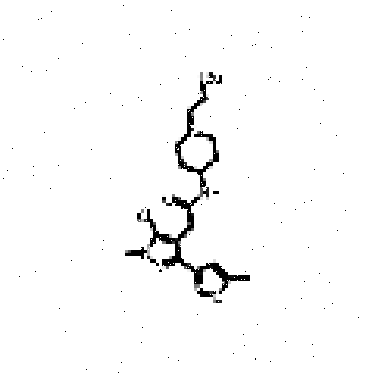 Cc1cc(-c2nn(C)c(Cl)c2CC(=O)NC2CCN(CCC(C)(C)C)CC2)no1